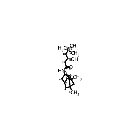 CC12CC3CC(C)(C1)CC(NC(=O)C[C@@H](O)C[N+](C)(C)C)(C3)C2